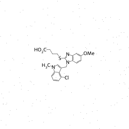 COc1ccc2c(c1)nc(SCCCC(=O)O)n2Cc1cn(C)c2cccc(Cl)c12